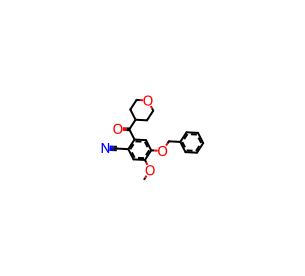 COc1cc(C#N)c(C(=O)C2CCOCC2)cc1OCc1ccccc1